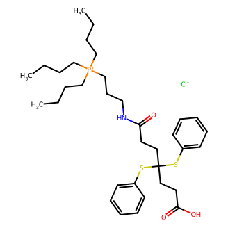 CCCC[P+](CCCC)(CCCC)CCCNC(=O)CCC(CCC(=O)O)(Sc1ccccc1)Sc1ccccc1.[Cl-]